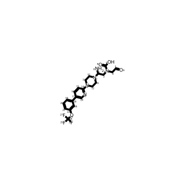 NC(CN(CC=O)C(=O)O)N1CCN(c2ccc(-c3cccc(OC(F)(F)F)c3)cn2)CC1